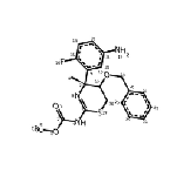 CC(C)(C)OC(=O)NC1=N[C@](C)(c2cc(N)ccc2F)C(OCc2ccccc2)CS1